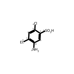 CCc1cc(Cl)c(S(=O)(=O)O)cc1N